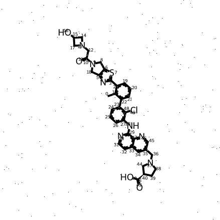 Cc1c(-c2nc3c(s2)CN(C(=O)CN2CC(O)C2)C3)cccc1-c1cccc(Nc2nccc3cc(CN4CC[C@@H](C(=O)O)C4)cnc23)c1Cl